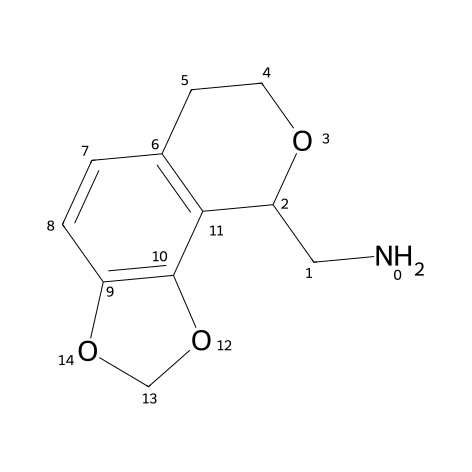 NCC1OCCc2ccc3c(c21)OCO3